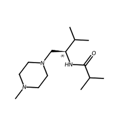 CC(C)C(=O)N[C@@H](CN1CCN(C)CC1)C(C)C